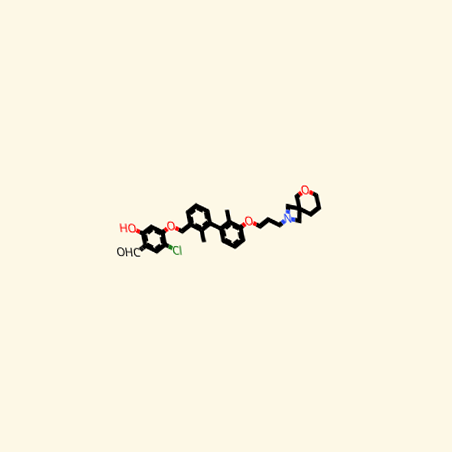 Cc1c(COc2cc(O)c(C=O)cc2Cl)cccc1-c1cccc(OCCCN2CC3(CCCOC3)C2)c1C